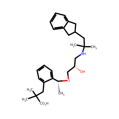 C[C@@H](OC[C@@H](O)CNC(C)(C)CC1Cc2ccccc2C1)c1ccccc1CC(C)(C)C(=O)O